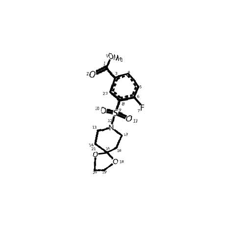 COC(=O)c1ccc(F)c(S(=O)(=O)N2CCC3(CC2)OCCO3)c1